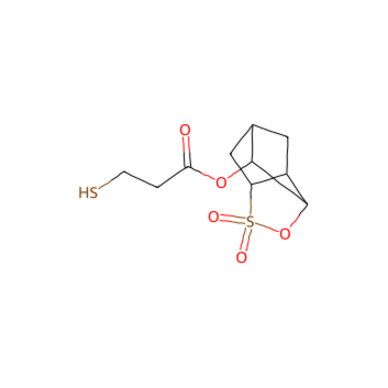 O=C(CCS)OC1C2CC3C1OS(=O)(=O)C3C2